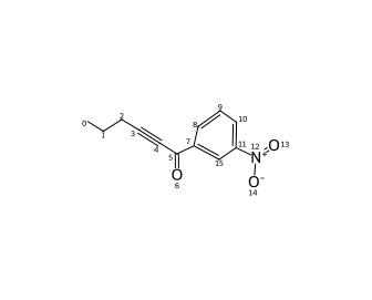 CCCC#CC(=O)c1cccc([N+](=O)[O-])c1